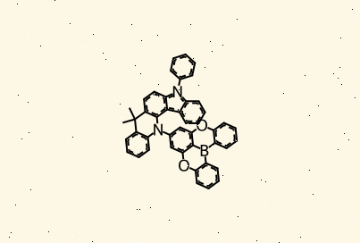 CC1(C)c2ccccc2N(c2cc3c4c(c2)Oc2ccccc2B4c2ccccc2O3)c2c1ccc1c2c2ccccc2n1-c1ccccc1